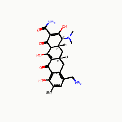 CN(C)[C@@H]1C(O)=C(C(N)=O)C(=O)C2C(O)=C3C(=O)c4c(O)c(C(C)(C)C)cc(CN)c4C[C@H]3C[C@H]21